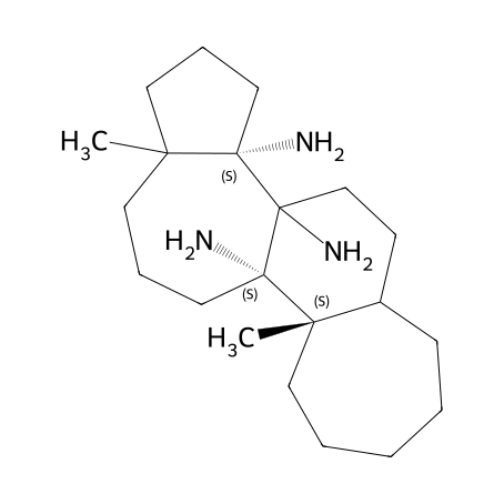 CC12CCC[C@@]1(N)C1(N)CCC3CCCCC[C@]3(C)[C@@]1(N)CCC2